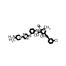 CN1C=C(C#Cc2cccc(Cl)c2)C(O)=C(C(=O)Nc2cccc(Sc3cnc(N4CCC(C)(N)CC4)cn3)c2Cl)C1=C=O